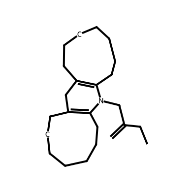 C=C(CC)CN1C2=C(CCCCCCC2)CC2=C1CCCCCCC2